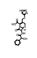 O=C(O)C1=C(CSc2c[nH]nn2)CS[C@H]2C(NC(=O)C(O)c3ccccc3)C(=O)N12